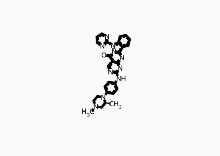 C[C@H]1CN(C)CCN1c1ccc(Nc2ncc3c(=O)n4c(nc3n2)c2ccccc2n4-c2ncccn2)cc1